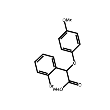 COC(=O)C(Oc1ccc(OC)cc1)c1ccccc1Br